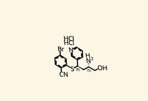 Cl.Cl.N#Cc1ccc(Br)cc1S[C@H](C[C@H](N)CO)c1cccnc1